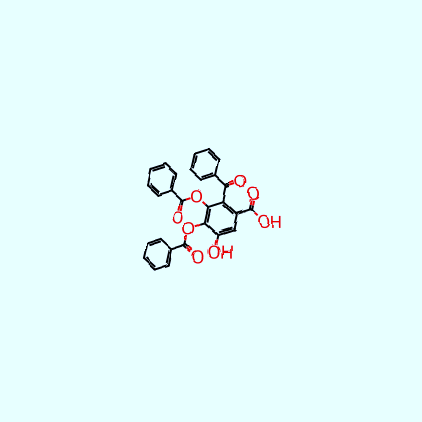 O=C(Oc1c(O)cc(C(=O)O)c(C(=O)c2ccccc2)c1OC(=O)c1ccccc1)c1ccccc1